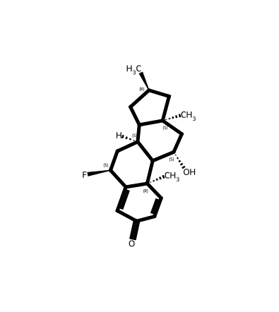 C[C@@H]1CC2[C@@H]3C[C@H](F)C4=CC(=O)C=C[C@]4(C)C3[C@@H](O)C[C@]2(C)C1